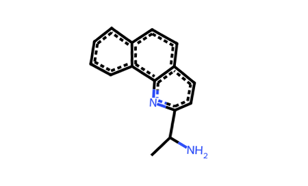 CC(N)c1ccc2ccc3ccccc3c2n1